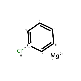 [Cl-].[Mg+2].[c-]1ccccc1